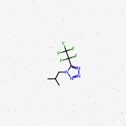 CC(C)Cn1nnnc1C(F)(F)C(F)(F)F